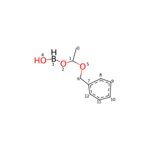 CC(OBO)OCc1ccccc1